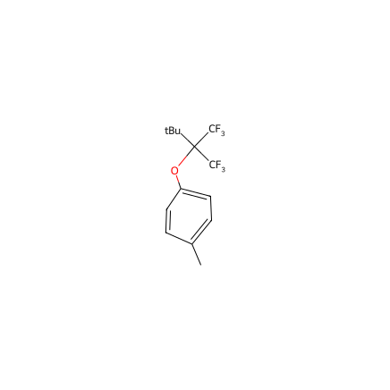 Cc1ccc(OC(C(C)(C)C)(C(F)(F)F)C(F)(F)F)cc1